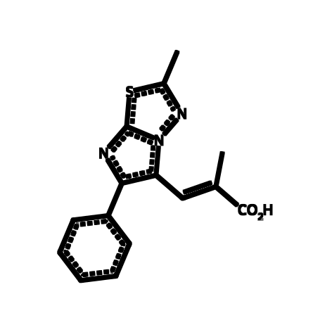 C/C(=C\c1c(-c2ccccc2)nc2sc(C)nn12)C(=O)O